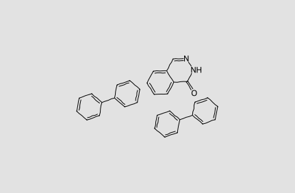 O=c1[nH]ncc2ccccc12.c1ccc(-c2ccccc2)cc1.c1ccc(-c2ccccc2)cc1